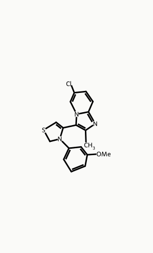 COc1cccc(N2CSC=C2c2c(C)nc3ccc(Cl)cn23)c1